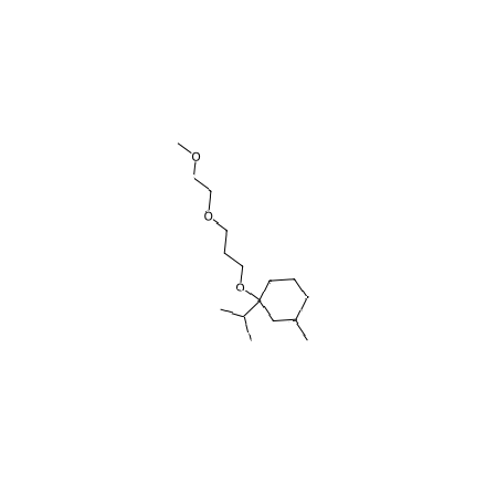 COCCOCCCOC1(C(C)C)CCCC(C)C1